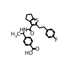 CC(NC(=O)c1c(CCc2ccc(F)cc2)sc2c1CCC2)c1ccc(C(=O)O)cc1